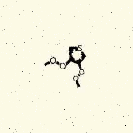 COOc1cscc1OOC